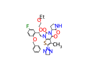 CCOCCO[C@@H](Cn1c(=O)n([C@H]2CCNC2=O)c(=O)c2c(C)c(-n3nccn3)sc21)c1cc(F)ccc1OCc1ccccc1